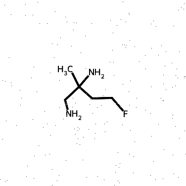 CC(N)(CN)CCF